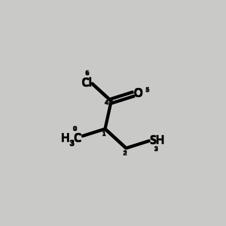 CC(CS)C(=O)Cl